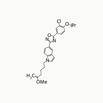 C=C(CCCCn1ccc2cc(-c3noc(-c4ccc(OC(C)C)c(Cl)c4)n3)ccc21)OC